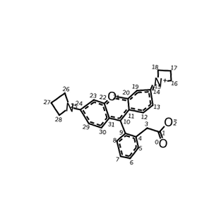 O=C([O-])Cc1ccccc1-c1c2ccc(=[N+]3CCC3)cc-2oc2cc(N3CCC3)ccc12